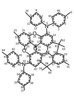 Cc1ccc(N(c2ccc(C)cc2)c2cc3c4c5c2Oc2cc(C)cc6c2P5(=O)c2c(c(N(c5ccc(C)cc5)c5ccc(C)cc5)cc5c2N4c2c(cc(C)cc2C5(C)C)C3(C)C)O6)cc1